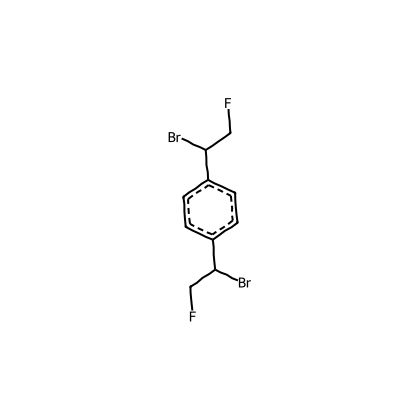 FCC(Br)c1ccc(C(Br)CF)cc1